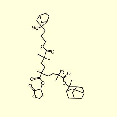 CCC(C)(CCC(C)(CCC(C)(C)C(=O)OCCCC1(O)CC2CCC1C2)C(=O)OC1CCOC1=O)C(=O)OC1(C)C2CC3CC(C2)CC1C3